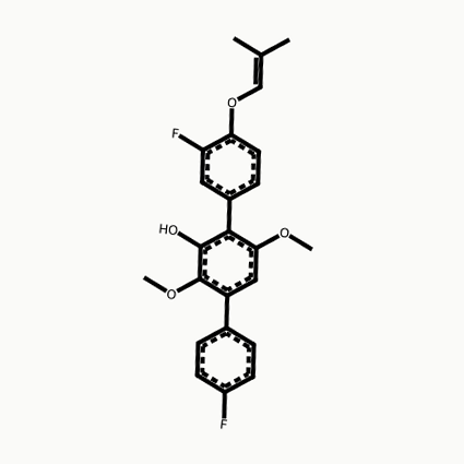 COc1cc(-c2ccc(F)cc2)c(OC)c(O)c1-c1ccc(OC=C(C)C)c(F)c1